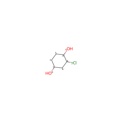 OC1CCC(O)C(Cl)C1